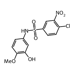 COc1ccc(NS(=O)(=O)c2ccc(Cl)c([N+](=O)[O-])c2)cc1O